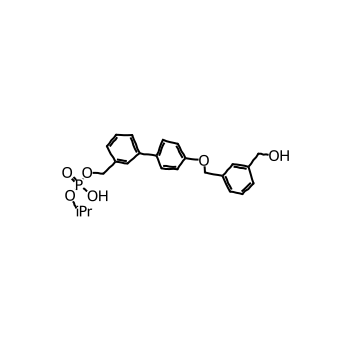 CC(C)OP(=O)(O)OCc1cccc(-c2ccc(OCc3cccc(CO)c3)cc2)c1